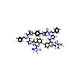 CN[C@@H](C)C(=O)N[C@H](C(=O)N1CCC[C@H]1CN(CCc1ccccc1)C(=O)c1csc(-c2ccc(-c3nc(C(=O)N(CCc4ccccc4)C[C@@H]4CCCN4C(=O)[C@@H](NC(=O)[C@H](C)NC)C4CCCCC4)cs3)cc2)n1)C1CCCCC1